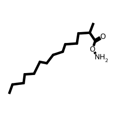 CCCCCCCCCCCCC(C)C(=O)ON